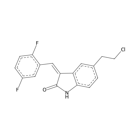 O=C1Nc2ccc(CCCl)cc2C1=Cc1cc(F)ccc1F